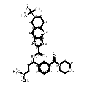 CN(C)CCC(NC(=O)c1nc2cc3c(nc2s1)CC[C@H](C(C)(C)C)C3)c1cccc(C(=O)N2CCOCC2)c1